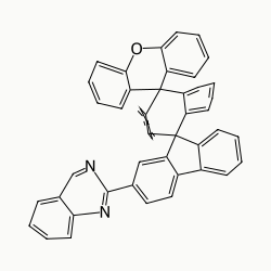 c1ccc2c(c1)Oc1ccccc1C21c2ccccc2C2(c3ccccc3-c3ccc(-c4ncc5ccccc5n4)cc32)c2ccccc21